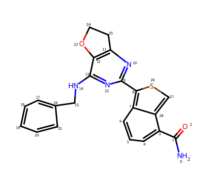 NC(=O)c1cccc2c(-c3nc4c(c(NCc5ccccc5)n3)OCC4)scc12